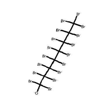 [O]C(Br)(Br)C(Br)(Br)C(Br)(Br)C(Br)(Br)C(Br)(Br)C(Br)(Br)C(Br)(Br)C(Br)(Br)Br